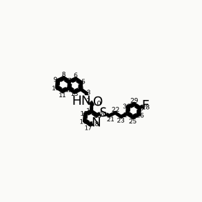 O=C(NCc1ccc2ccccc2c1)c1cccnc1SCCCc1ccc(F)cc1